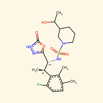 Cc1ccc(F)c([C@@H](C)[C@@H](NS(=O)(=O)N2CCCC(C(C)O)C2)c2n[nH]c(=O)o2)c1C